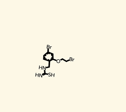 N=C(S)NCc1ccc(Br)cc1OCCBr